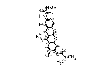 CNS(=O)(=O)Nc1nccc(Cc2c(CBr)c3cc(Cl)c(OC(=O)N(C)C)cc3oc2=O)c1F